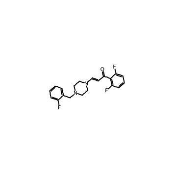 O=C(C=CN1CCN(Cc2ccccc2F)CC1)c1c(F)cccc1F